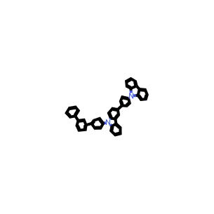 c1ccc(-c2cccc(-c3ccc(-n4c5ccccc5c5cc(-c6ccc(-n7c8ccccc8c8ccccc87)cc6)ccc54)cc3)c2)cc1